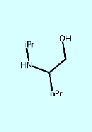 CCCC(CO)NC(C)C